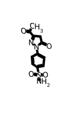 CC(=O)C1=NN(c2ccc(S(N)(=O)=O)cc2)C(=O)C1